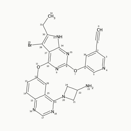 C#Cc1cncc(Oc2nc(Oc3ccc4ncnc(N5CC(N)C5)c4c3)c3c(Br)c(CC)[nH]c3n2)c1